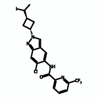 CC(I)[C@H]1C[C@H](n2cc3cc(NC(=O)c4cccc(C(F)(F)F)n4)c(Cl)cc3n2)C1